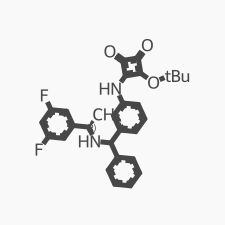 C[C@@H](NC(c1ccccc1)c1cccc(Nc2c(OC(C)(C)C)c(=O)c2=O)c1)c1cc(F)cc(F)c1